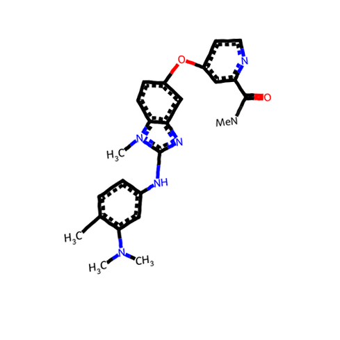 CNC(=O)c1cc(Oc2ccc3c(c2)nc(Nc2ccc(C)c(N(C)C)c2)n3C)ccn1